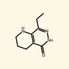 CCc1n[nH]c(=O)c2c1NCCC2